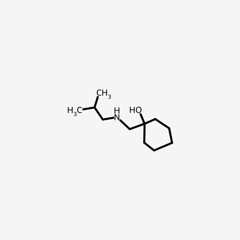 CC(C)CNCC1(O)CCCCC1